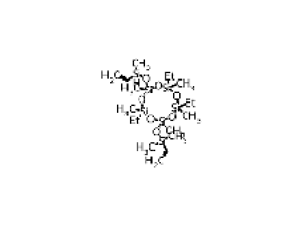 C=C[SiH](C)O[Si]1(C)O[Si](C)(CC)O[Si](C)(CC)O[Si](C)(O[Si](C)(C)C=C)O[Si](C)(CC)O1